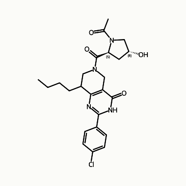 CCCCC1CN(C(=O)[C@@H]2C[C@@H](O)CN2C(C)=O)Cc2c1nc(-c1ccc(Cl)cc1)[nH]c2=O